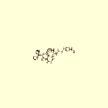 CCCCCCc1cccc(C=CC(=O)Cl)c1SC